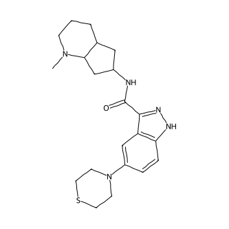 CN1CCCC2CC(NC(=O)c3n[nH]c4ccc(N5CCSCC5)cc34)CC21